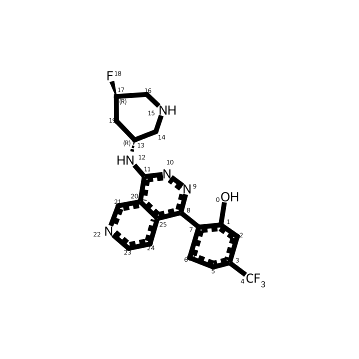 Oc1cc(C(F)(F)F)ccc1-c1nnc(N[C@H]2CNC[C@H](F)C2)c2cnccc12